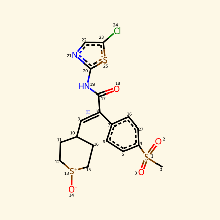 CS(=O)(=O)c1ccc(/C(=C\C2CC[S+]([O-])CC2)C(=O)Nc2ncc(Cl)s2)cc1